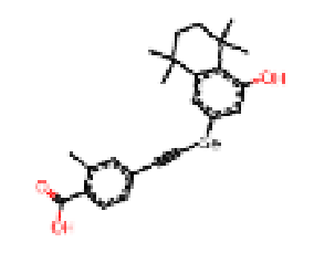 Cc1cc(C#C[Se]c2cc(O)c3c(c2)C(C)(C)CCC3(C)C)ccc1C(=O)O